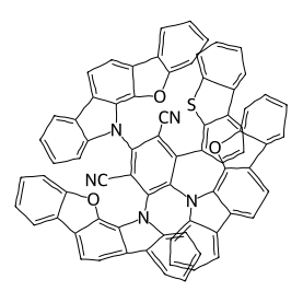 N#Cc1c(-c2cccc3c2sc2ccccc23)c(-n2c3ccccc3c3ccc4c5ccccc5oc4c32)c(-n2c3ccccc3c3ccc4c5ccccc5oc4c32)c(C#N)c1-n1c2ccccc2c2ccc3c4ccccc4oc3c21